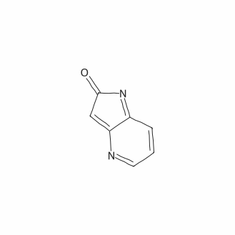 O=C1C=c2ncccc2=N1